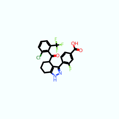 O=C(O)c1ccc(-c2n[nH]c3c2C(C(=O)c2c(Cl)cccc2C(F)(F)F)CCC3)c(F)c1